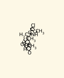 CC[C@@H](NC(=O)C[C@@H](C)[C@H]1CC[C@H]2[C@@H]3C(=O)C[C@@H]4CC(=O)CC[C@]4(C)[C@H]3CC[C@]12C)c1ccc(Cl)s1